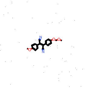 COCOc1ccc(C(C#N)=C(C#N)c2ccc(OC)cc2)cc1